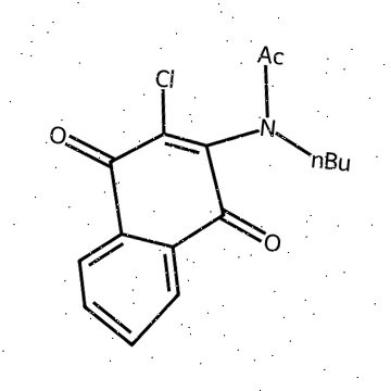 CCCCN(C(C)=O)C1=C(Cl)C(=O)c2ccccc2C1=O